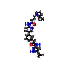 N#C[C@@H]1CCCN1C/C=C/C(=O)Nc1ccc(-c2cccc(CC(=O)Nc3cc(C4CC4)[nH]n3)c2)cn1